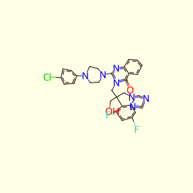 O=c1c2ccccc2nc(N2CCN(c3ccc(Cl)cc3)CC2)n1CC(CO)(Cn1cncn1)c1ccc(F)cc1F